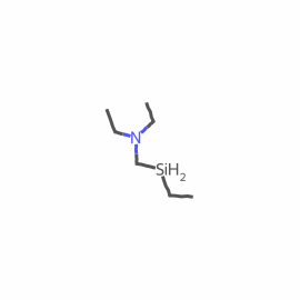 CC[SiH2]CN(CC)CC